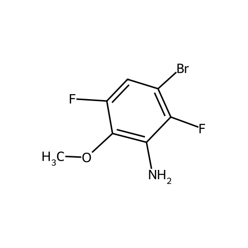 COc1c(F)cc(Br)c(F)c1N